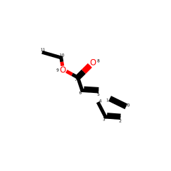 C=C.C=CC.C=CC(=O)OCC